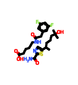 CC(CCCC(C)(C)O)c1cnc(C(N)=O)s1.O=C(O)CCCCNC(=O)Cc1cc(F)cc(F)c1